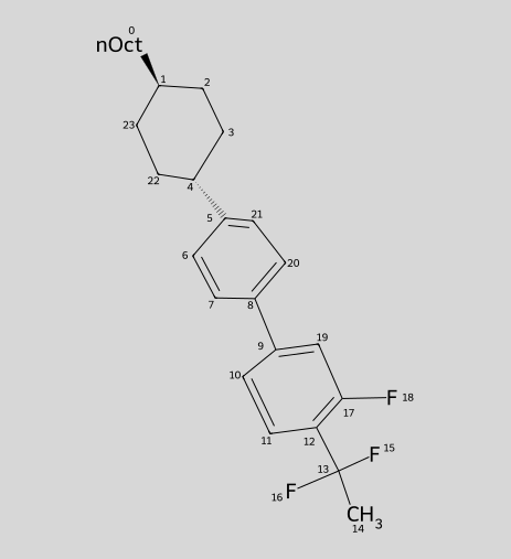 CCCCCCCC[C@H]1CC[C@H](c2ccc(-c3ccc(C(C)(F)F)c(F)c3)cc2)CC1